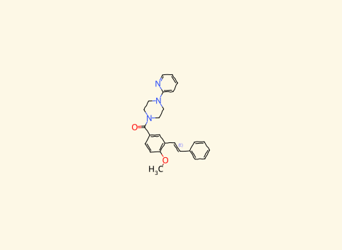 COc1ccc(C(=O)N2CCN(c3ccccn3)CC2)cc1/C=C/c1ccccc1